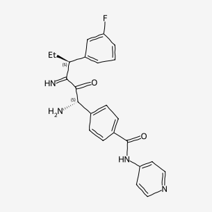 CC[C@H](C(=N)C(=O)[C@@H](N)c1ccc(C(=O)Nc2ccncc2)cc1)c1cccc(F)c1